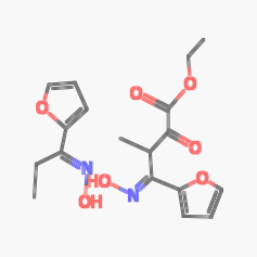 CCC(=NO)c1ccco1.CCOC(=O)C(=O)C(C)C(=NO)c1ccco1